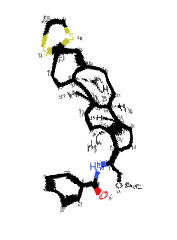 CC(=O)OCC(NC(=O)c1ccccc1)=C1CC[C@H]2[C@@H]3CCC4=CC5(CC[C@]4(C)[C@H]3CC[C@]12C)SCCS5